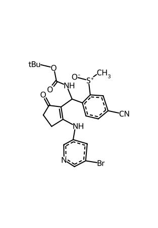 C[S+]([O-])c1cc(C#N)ccc1C(NC(=O)OC(C)(C)C)C1=C(Nc2cncc(Br)c2)CCC1=O